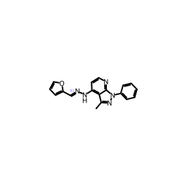 Cc1nn(-c2ccccc2)c2nccc(N/N=C/c3ccco3)c12